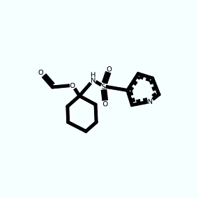 O=COC1(NS(=O)(=O)c2cccnc2)CCCCC1